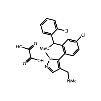 CNCc1cnn(C)c1-c1ccc(Cl)cc1C(OC)c1ccccc1Cl.O=C(O)C(=O)O